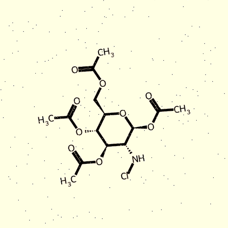 CC(=O)OC[C@H]1O[C@@H](OC(C)=O)[C@H](NCl)[C@@H](OC(C)=O)[C@@H]1OC(C)=O